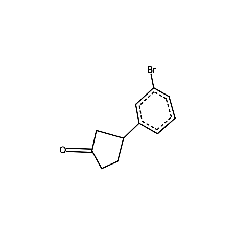 O=C1CCC(c2cccc(Br)c2)C1